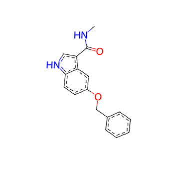 CNC(=O)c1c[nH]c2ccc(OCc3ccccc3)cc12